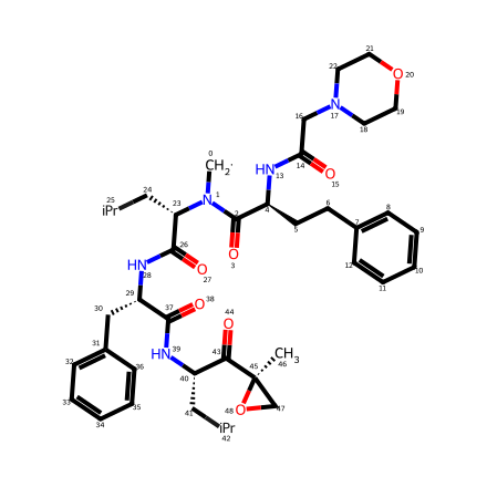 [CH2]N(C(=O)[C@H](CCc1ccccc1)NC(=O)CN1CCOCC1)[C@@H](CC(C)C)C(=O)N[C@@H](Cc1ccccc1)C(=O)N[C@@H](CC(C)C)C(=O)[C@@]1(C)CO1